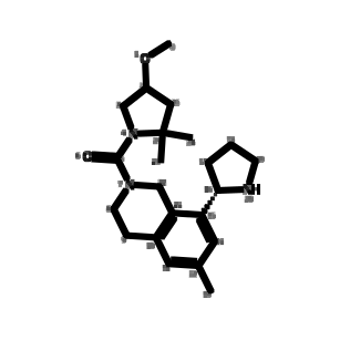 COC1CN(C(=O)N2CCc3cc(C)cc([C@@H]4CCCN4)c3C2)C(C)(C)C1